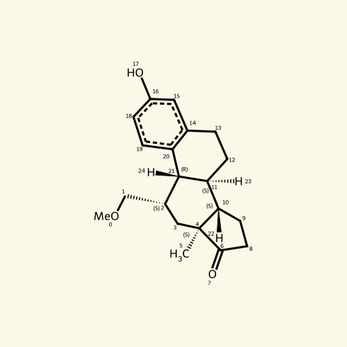 COC[C@H]1C[C@]2(C)C(=O)CC[C@H]2[C@@H]2CCc3cc(O)ccc3[C@@H]12